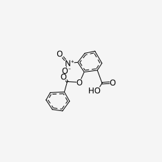 O=C(Oc1c(C(=O)O)cccc1[N+](=O)[O-])c1ccccc1